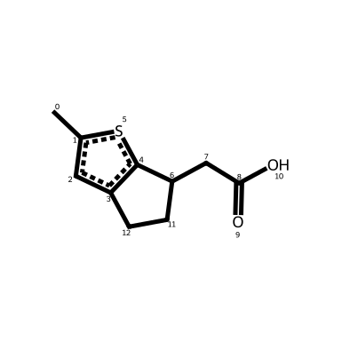 Cc1cc2c(s1)C(CC(=O)O)CC2